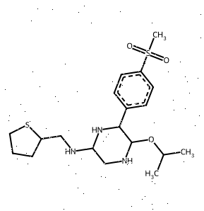 CC(C)OC1NCC(NCC2CCCS2)NC1c1ccc(S(C)(=O)=O)cc1